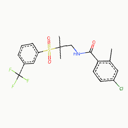 Cc1cc(Cl)ccc1C(=O)NCC(C)(C)S(=O)(=O)c1cccc(C(F)(F)F)c1